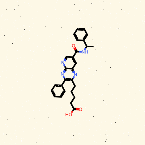 C[C@@H](NC(=O)c1cnc2nc(-c3ccccc3)c(CCCCC(=O)O)nc2c1)c1ccccc1